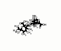 CC(C)C1(C)OC(O)(C(=O)O)C(C)(COCC2(C)OC3(C(=O)O)OC(C)(C2(C)O)C3(C)CO)C(C)C1C